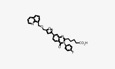 O=C(O)CCCCc1nc2cc(-c3cc(COCc4cccc5cccnc45)on3)ccc2c(=O)n1-c1ccc(F)cc1